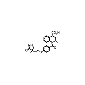 C[C@@H]1C[C@@H](C(=O)O)c2ccccc2N1C(=O)c1ccc(OCCC(C)(C)C(N)=O)cc1